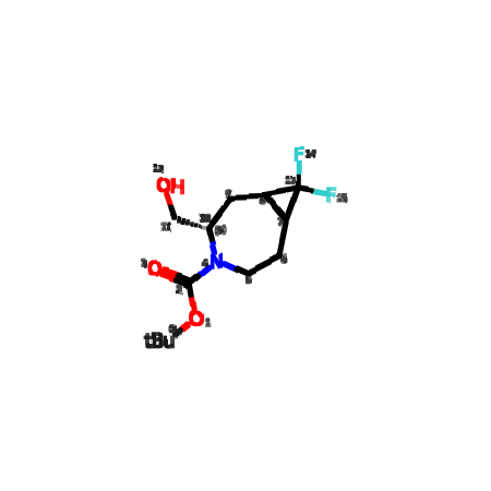 CC(C)(C)OC(=O)N1CCC2C(C[C@H]1CO)C2(F)F